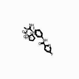 CN1C(=N)N[C@@]2(c3cc(NC(=O)c4ccc(F)cn4)ccc3F)CCC[C@H]2S1(=O)=O